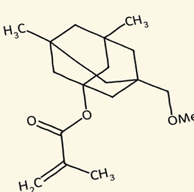 C=C(C)C(=O)OC12CC3(C)CC(C)(CC(COC)(C3)C1)C2